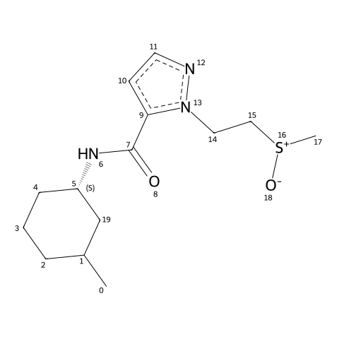 CC1CCC[C@H](NC(=O)c2ccnn2CC[S+](C)[O-])C1